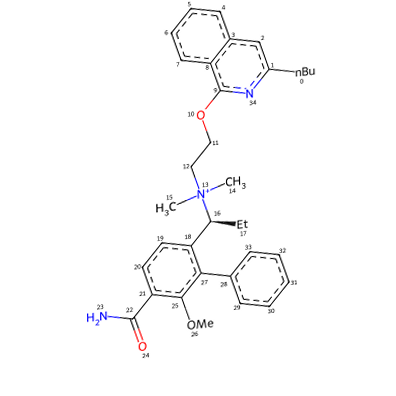 CCCCc1cc2ccccc2c(OCC[N+](C)(C)[C@@H](CC)c2ccc(C(N)=O)c(OC)c2-c2ccccc2)n1